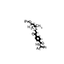 CC(=O)[C@@H](NC(=O)c1ccc(C(=O)CCSC(C)(C)CCOC(C)C)cc1)C(C)C